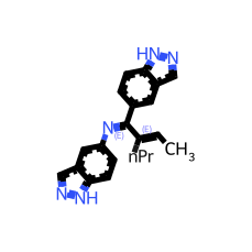 C/C=C(CCC)/C(=N\c1ccc2[nH]ncc2c1)c1ccc2[nH]ncc2c1